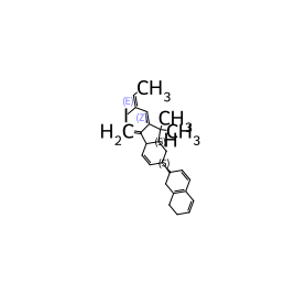 C=C1/C(=C\C(I)=C/C)C(C)(C)[C@H]2C[C@@H](C3C=CC4=C(CCC=C4)C3)C=CC12